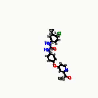 CC(C)(C)C(=O)c1cc(Oc2ccc(NC(=O)Nc3ccc(Cl)c(C(F)(F)F)c3)cc2)ccn1